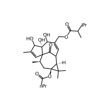 CCCC(=O)O[C@@]12C[C@@H](C)C34C=C(C)C(O)[C@@]3(O)C(O)C(COC(=O)C(C)C(C)C)=CC(C4=O)[C@H]1C2(C)C